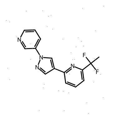 CC(F)(F)c1cccc(-c2cnn(-c3cccnc3)c2)n1